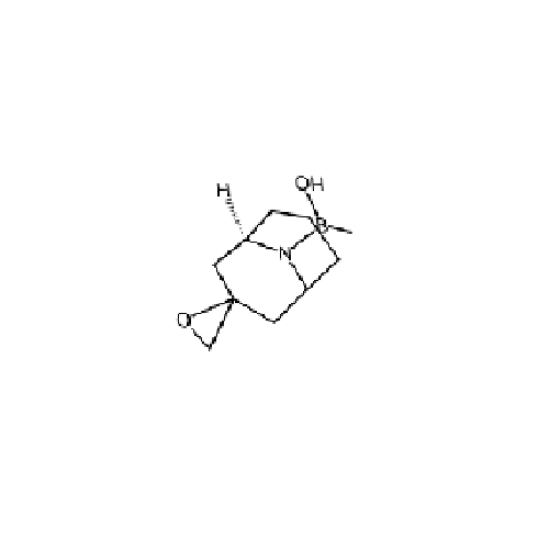 CB(O)N1C2CCC[C@@H]1CC1(CO1)C2